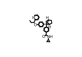 CCC(Oc1ccc([C@@]2(c3ccc(C(=O)NC4CC4)cc3)C[C@@H]3CC[C@H]2C3)cc1)c1ccccn1